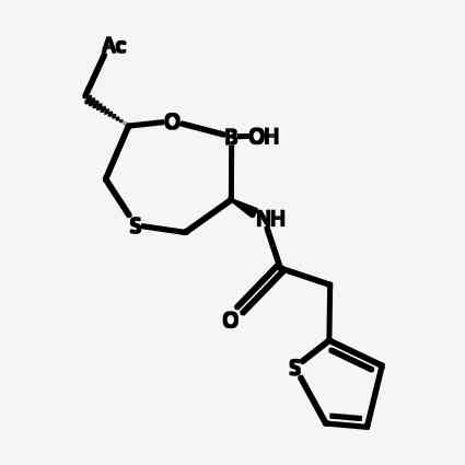 CC(=O)C[C@H]1CSC[C@H](NC(=O)Cc2cccs2)B(O)O1